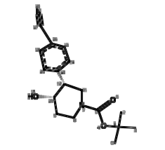 CC(C)(C)OC(=O)N1CC[C@H](O)[C@H](c2ccc(C#N)cc2)C1